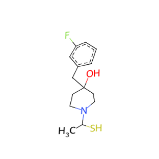 CC(S)N1CCC(O)(Cc2cccc(F)c2)CC1